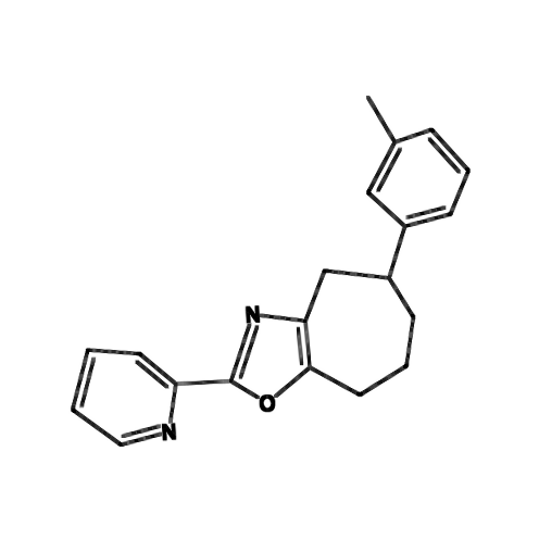 Cc1cccc(C2CCCc3oc(-c4ccccn4)nc3C2)c1